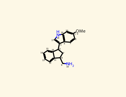 COc1ccc2c(C3CC(CN)c4ccccc43)c[nH]c2c1